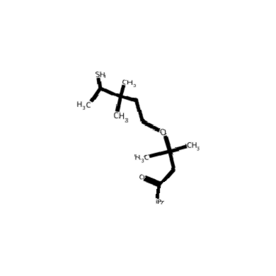 CC(C)C(=O)CC(C)(C)OCCC(C)(C)C(C)S